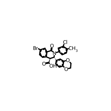 Cc1ccc(N2C(=O)c3cc(Br)ccc3[C@H](C(=O)O)[C@H]2c2ccc3c(c2)OCCO3)cc1Cl